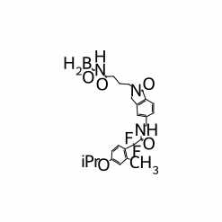 BC(=O)NC(=O)CCCN1Cc2cc(CNC(=O)C(F)(F)c3ccc(OC(C)C)cc3C)ccc2C1=O